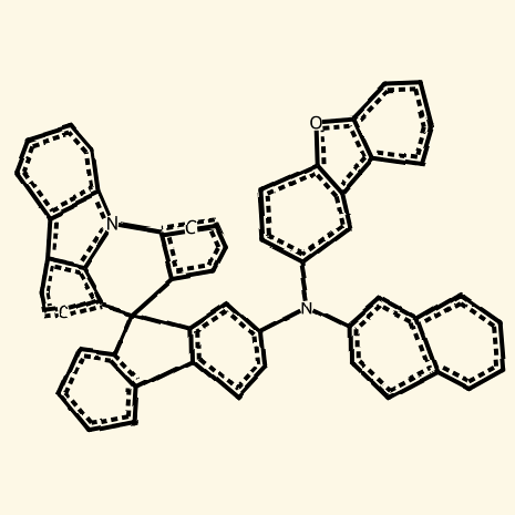 c1ccc2c(c1)-c1ccc(N(c3ccc4ccccc4c3)c3ccc4oc5ccccc5c4c3)cc1C21c2ccccc2-n2c3ccccc3c3cccc1c32